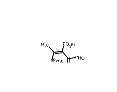 CCCCC/C(C)=C(\NC=O)C(=O)OCC